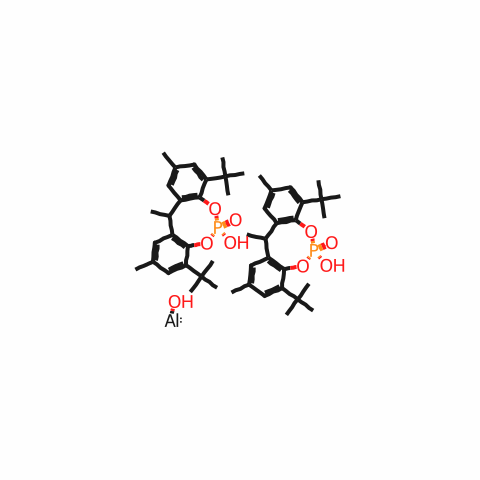 Cc1cc2c(c(C(C)(C)C)c1)OP(=O)(O)Oc1c(cc(C)cc1C(C)(C)C)C2C.Cc1cc2c(c(C(C)(C)C)c1)OP(=O)(O)Oc1c(cc(C)cc1C(C)(C)C)C2C.[OH][Al]